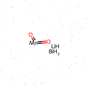 [BiH3].[LiH].[O]=[Mn]=[O]